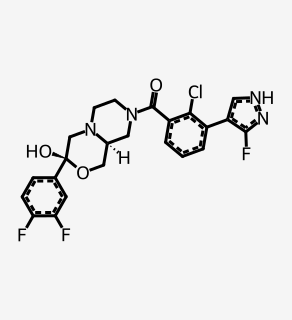 O=C(c1cccc(-c2c[nH]nc2F)c1Cl)N1CCN2C[C@@](O)(c3ccc(F)c(F)c3)OC[C@@H]2C1